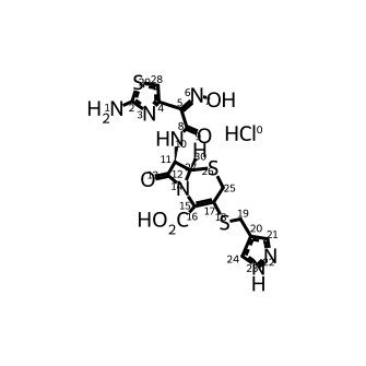 Cl.Nc1nc(/C(=N/O)C(=O)N[C@@H]2C(=O)N3C(C(=O)O)=C(SCc4cn[nH]c4)CS[C@@H]23)cs1